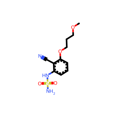 COCCCOc1cccc(NS(N)(=O)=O)c1C#N